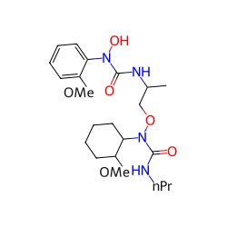 CCCNC(=O)N(OCC(C)NC(=O)N(O)c1ccccc1OC)C1CCCCC1OC